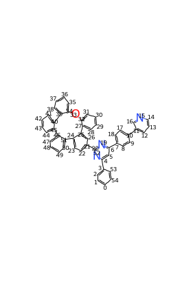 c1ccc(-c2cc(-c3ccc(-c4cccnc4)cc3)nc(-c3ccc4c(c3)-c3ccccc3Oc3ccccc3-c3ccccc3-c3ccccc3-4)n2)cc1